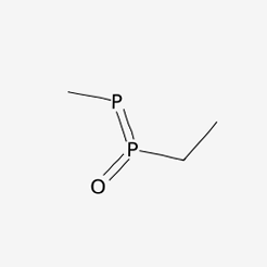 CCP(=O)=PC